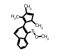 C[O][Ti][c]1c(C2=C(C)C(C)=CC2C)ccc2ccccc12